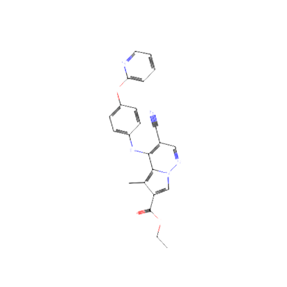 CCOC(=O)c1cn2ncc(C#N)c(Nc3ccc(Oc4ccccn4)cc3)c2c1C